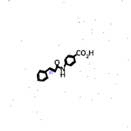 O=C(/C=C/c1ccccc1)Nc1ccc(C(=O)O)cc1